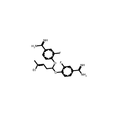 CC/C(C)=C\CC(Oc1ccc(C(=N)N)cc1F)Oc1ccc(C(=N)N)cc1F